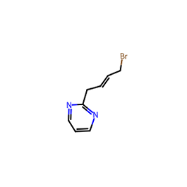 BrCC=CCc1ncccn1